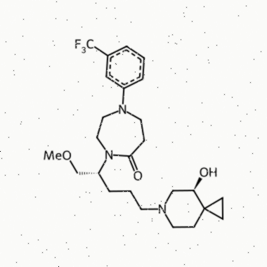 COC[C@@H](CCCN1CCC2(CC2)[C@H](O)C1)N1CCN(c2cccc(C(F)(F)F)c2)CCC1=O